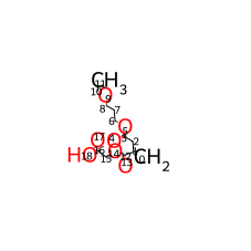 C=C(CC(=O)OCCCOCC)C(=O)OCC(=O)O